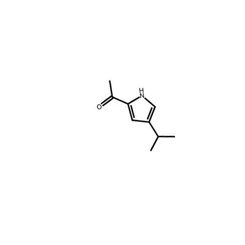 CC(=O)c1cc(C(C)C)c[nH]1